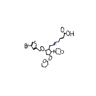 O=C(O)CCC/C=C/CC1C(OCc2cc(Br)cs2)CC(OC2CCCCO2)C1N1CCOCC1